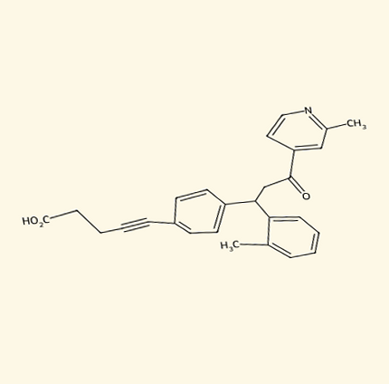 Cc1cc(C(=O)CC(c2ccc(C#CCCC(=O)O)cc2)c2ccccc2C)ccn1